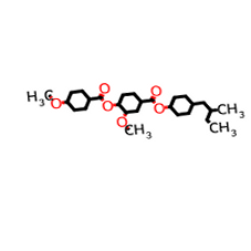 CCC(C)CC1CCC(OC(=O)C2CCC(OC(=O)C3CCC(OC)CC3)C(OC)C2)CC1